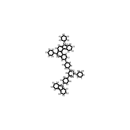 c1ccc(-c2nc(-c3ccc(-c4ccc5c(c4)nc(-c4ccccc4)c4ccc6c(c7ccccc7n6-c6ccccc6)c45)cc3)cc(-c3ccc(-n4c5ccccc5c5ccccc54)cc3)n2)cc1